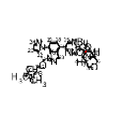 CC(C)(C)OC(=O)N1[C@@H]2COC[C@H]1CC(Oc1ncc(-c3ccc(-n4cccn4)c4c3cnn4COCC[Si](C)(C)C)nn1)C2